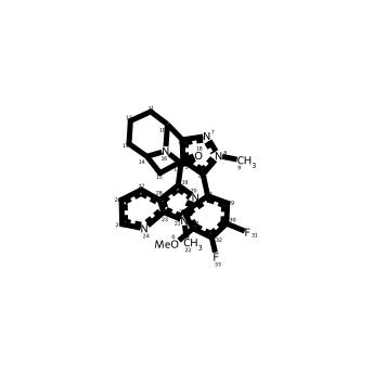 COc1cc(-c2c3c(nn2C)C2CCCC(C3)N2C(=O)c2nn(C)c3ncccc23)cc(F)c1F